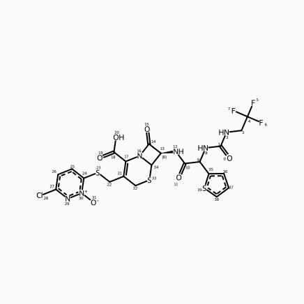 O=C(NCC(F)(F)F)NC(C(=O)N[C@@H]1C(=O)N2C(C(=O)O)=C(CSc3ccc(Cl)n[n+]3[O-])CSC12)c1cccs1